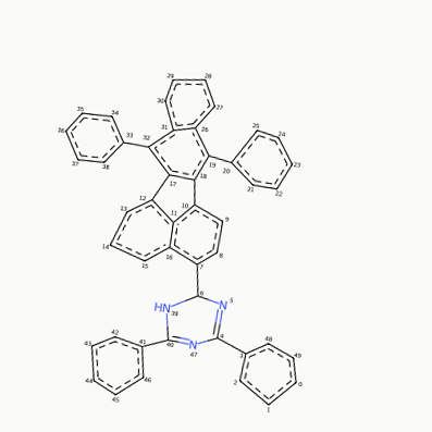 c1ccc(C2=NC(c3ccc4c5c(cccc35)-c3c-4c(-c4ccccc4)c4ccccc4c3-c3ccccc3)NC(c3ccccc3)=N2)cc1